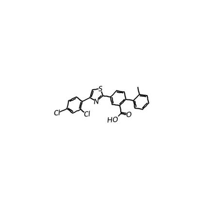 Cc1ccccc1-c1ccc(-c2nc(-c3ccc(Cl)cc3Cl)cs2)cc1C(=O)O